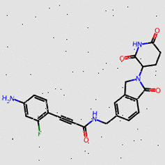 Nc1ccc(C#CC(=O)NCc2ccc3c(c2)CN(C2CCC(=O)NC2=O)C3=O)c(F)c1